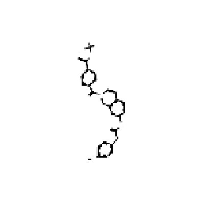 COc1ccc(CC(=O)Nc2ccc3c(c2)CN(C(=O)c2ccc(C(=O)OC(C)(C)C)cc2)C=C3)cc1